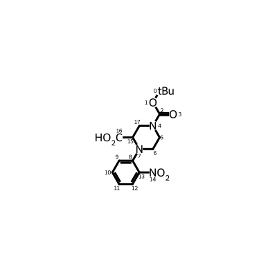 CC(C)(C)OC(=O)N1CCN(c2ccccc2[N+](=O)[O-])C(C(=O)O)C1